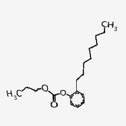 CCCCCCCCCc1ccccc1OC(=O)OCCC